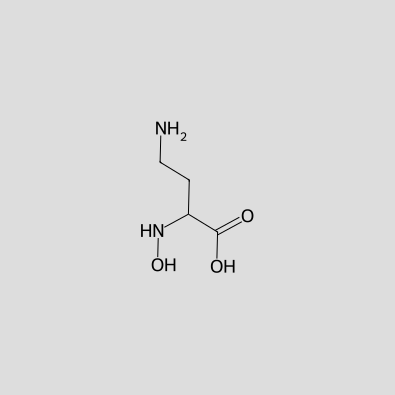 NCCC(NO)C(=O)O